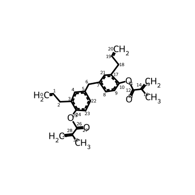 C=CCc1cc(Cc2ccc(OC(=O)C(=C)C)c(CC=C)c2)ccc1OC(=O)C(=C)C